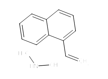 C=Cc1cccc2ccccc12.CNC